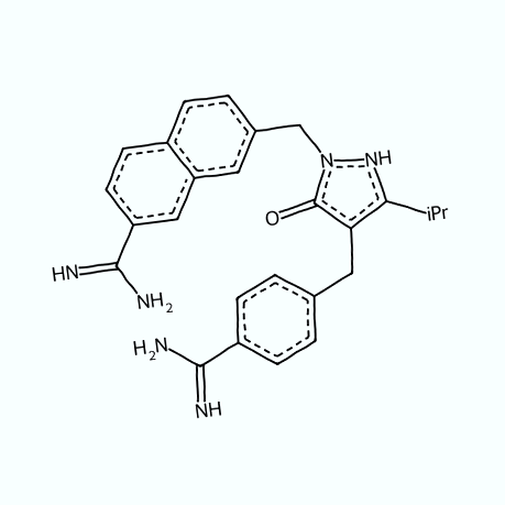 CC(C)c1[nH]n(Cc2ccc3ccc(C(=N)N)cc3c2)c(=O)c1Cc1ccc(C(=N)N)cc1